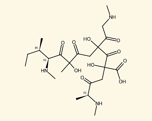 CC[C@@H](C)[C@H](NC)C(=O)C(C)(O)C(=O)CC(O)(C(=O)CNC)C(=O)C(O)(CC(=O)[C@H](C)NC)C(=O)O